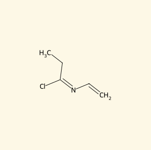 C=C/N=C(/Cl)CC